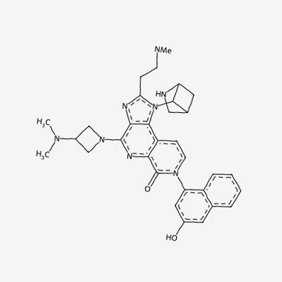 CNCCc1nc2c(N3CC(N(C)C)C3)nc3c(=O)n(-c4cc(O)cc5ccccc45)ccc3c2n1C1C2CNC1C2